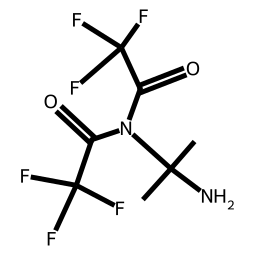 CC(C)(N)N(C(=O)C(F)(F)F)C(=O)C(F)(F)F